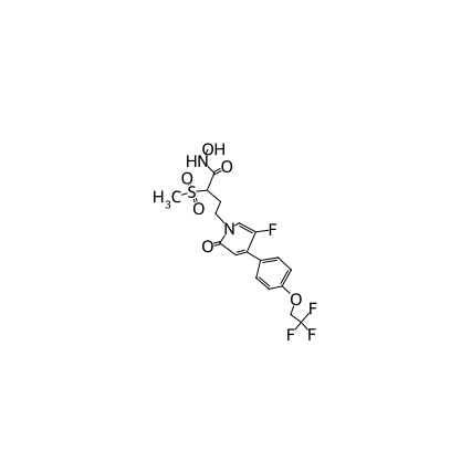 CS(=O)(=O)C(CCn1cc(F)c(-c2ccc(OCC(F)(F)F)cc2)cc1=O)C(=O)NO